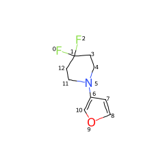 FC1(F)CCN(c2ccoc2)CC1